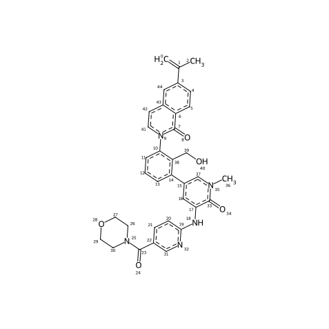 C=C(C)c1ccc2c(=O)n(-c3cccc(-c4cc(Nc5ccc(C(=O)N6CCOCC6)cn5)c(=O)n(C)c4)c3CO)ccc2c1